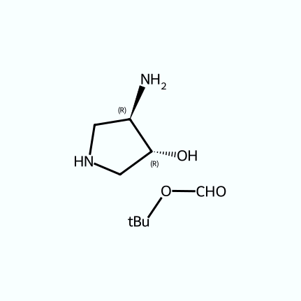 CC(C)(C)OC=O.N[C@@H]1CNC[C@H]1O